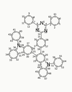 c1ccc(-c2nc(-c3ccccc3)nc(-c3ccc(-c4cc5c(cc4-c4ccc6c(c4)c4ccccc4n6-c4ccccc4)c4ccccc4n5-c4ccccc4)cc3)n2)cc1